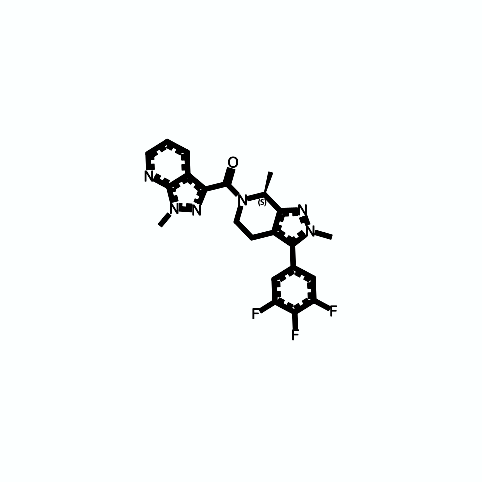 C[C@H]1c2nn(C)c(-c3cc(F)c(F)c(F)c3)c2CCN1C(=O)c1nn(C)c2ncccc12